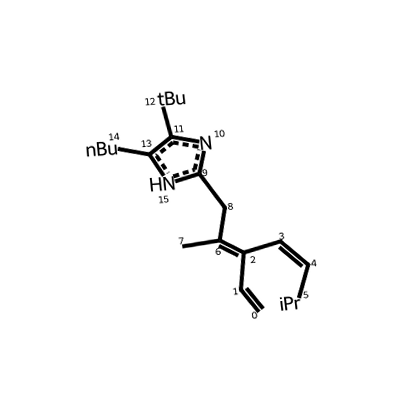 C=CC(/C=C\C(C)C)=C(\C)Cc1nc(C(C)(C)C)c(CCCC)[nH]1